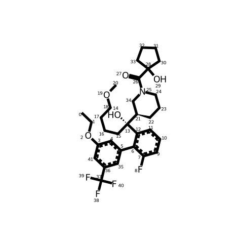 CCOc1cc(-c2c(F)cccc2[C@@](O)(CCCCOC)[C@@H]2CCCN(C(=O)C3(O)CCCC3)C2)cc(C(F)(F)F)c1